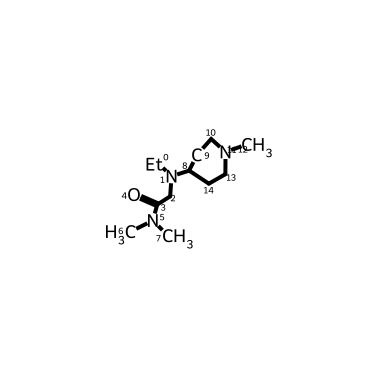 CCN(CC(=O)N(C)C)C1CCN(C)CC1